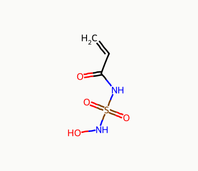 C=CC(=O)NS(=O)(=O)NO